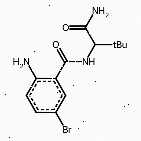 CC(C)(C)C(NC(=O)c1cc(Br)ccc1N)C(N)=O